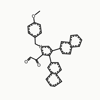 COc1ccc(Cn2cc(-c3ccc4ccccc4c3)c(-c3ccc4ccccc4c3)c2C(=O)C=O)cc1